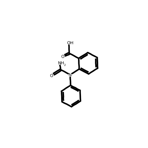 NC(=O)N(c1[c]cccc1)c1ccccc1C(=O)O